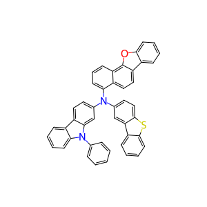 c1ccc(-n2c3ccccc3c3ccc(N(c4ccc5sc6ccccc6c5c4)c4cccc5c4ccc4c6ccccc6oc54)cc32)cc1